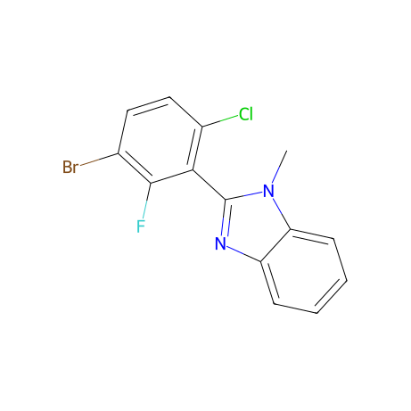 Cn1c(-c2c(Cl)ccc(Br)c2F)nc2ccccc21